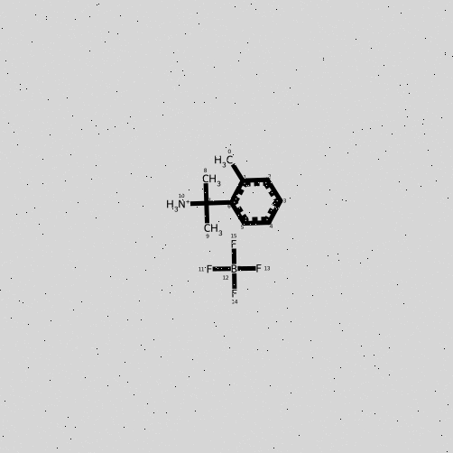 Cc1ccccc1C(C)(C)[NH3+].F[B-](F)(F)F